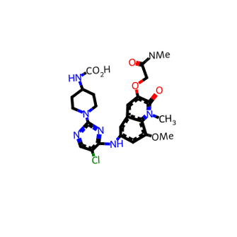 CNC(=O)COc1cc2cc(Nc3nc(N4CCC(NC(=O)O)CC4)ncc3Cl)cc(OC)c2n(C)c1=O